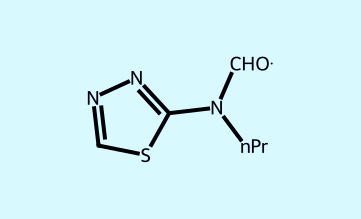 CCCN([C]=O)c1nncs1